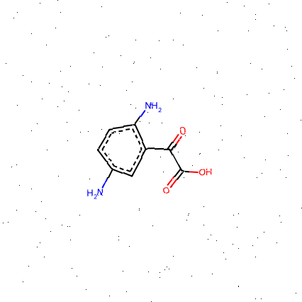 Nc1ccc(N)c(C(=O)C(=O)O)c1